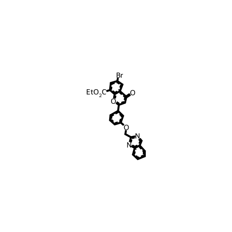 CCOC(=O)c1cc(Br)cc2c(=O)cc(-c3cccc(OCc4ncc5ccccc5n4)c3)oc12